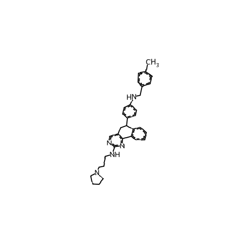 Cc1ccc(CNc2ccc(C3Cc4cnc(NCCCN5CCCC5)nc4-c4ccccc43)cc2)cc1